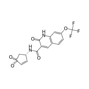 O=C(N[C@@H]1C=CS(=O)(=O)C1)c1cc2ccc(OC(F)(F)F)cc2[nH]c1=O